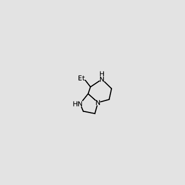 CCC1NCCN2CCNC12